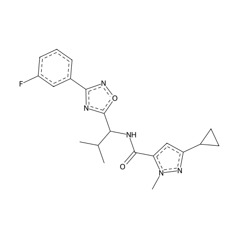 CC(C)C(NC(=O)c1cc(C2CC2)nn1C)c1nc(-c2cccc(F)c2)no1